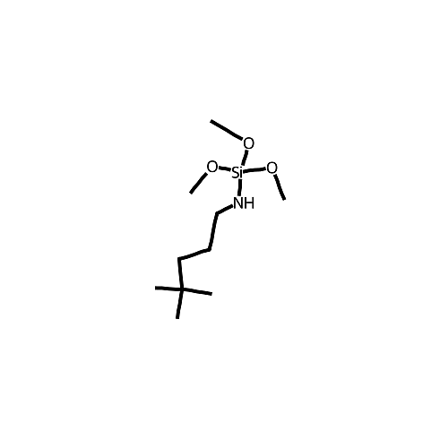 CO[Si](NCCCC(C)(C)C)(OC)OC